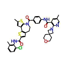 Cc1cnc(N2CC3(CCOCC3)C2)c(C(=O)Nc2ccc(C(=O)N3CCc4cc(C(=O)Nc5c(C)cccc5Cl)sc4-c4cc(C)sc43)cc2)c1